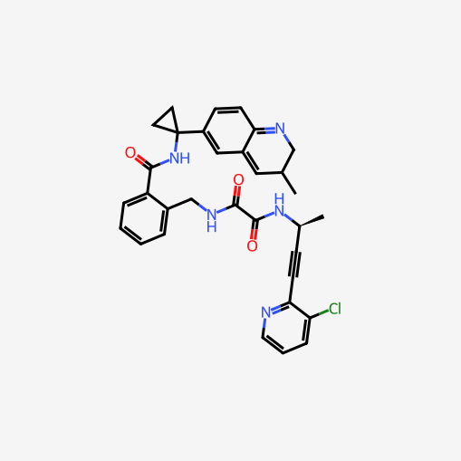 CC1C=c2cc(C3(NC(=O)c4ccccc4CNC(=O)C(=O)N[C@@H](C)C#Cc4ncccc4Cl)CC3)ccc2=NC1